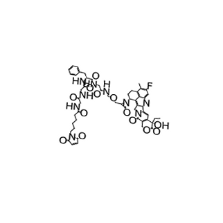 CC[C@@]1(O)C(=O)OCc2c1cc1n(c2=O)Cc2c-1nc1cc(F)c(C)c3c1c2[C@@H](N1C(=O)C1COCNC(=O)CNC(=O)[C@H](Cc1ccccc1)NC(=O)CNC(=O)CNC(=O)CCCCCN1C(=O)C=CC1=O)CC3